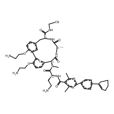 Cc1nc(-c2ccc(C3=CCCCC3)cc2)nc(C)c1C(=O)N[C@@H](CCN)C(=O)N(C)[C@@H]1C(=O)N[C@@H](C)C(=O)N[C@H](C(=O)NCC#N)Cc2ccc(OCCN)c(c2)-c2cc1ccc2OCCN